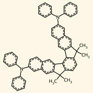 CC1(C)c2cc3cc(N(c4ccccc4)c4ccccc4)ccc3cc2-c2c1ccc1c2-c2cc3ccc(N(c4ccccc4)c4ccccc4)cc3cc2C1(C)C